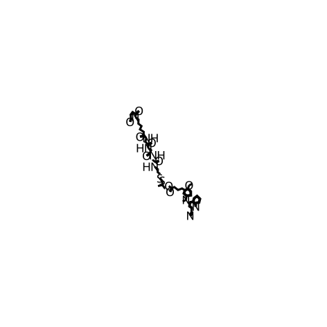 COc1ccc(N(C)c2cc(C#N)nc3ccccc23)cc1CCCC(=O)OCC(C)SSCCCNC(=O)CNC(=O)CNC(=O)CNC(=O)CCCCCN1C(=O)C=CC1=O